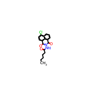 CCCCCC(=O)NN1C(=O)c2cccc3c(Cl)ccc(c23)C1=O